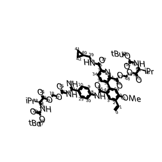 C=Cc1cc(C(=O)Nc2ccc(C(=N)NC(=O)OCOC(=O)[C@@H](NC(=O)OC(C)(C)C)C(C)C)cc2)c(-c2ccc(C(=O)NCC3CC3)nc2C(=O)OCOC(=O)[C@@H](NC(=O)OC(C)(C)C)C(C)C)cc1OC